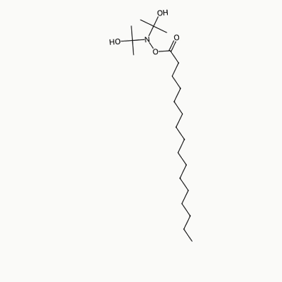 CCCCCCCCCCCCCCCC(=O)ON(C(C)(C)O)C(C)(C)O